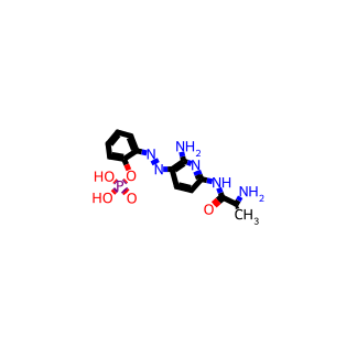 C[C@H](N)C(=O)Nc1ccc(/N=N/c2ccccc2OP(=O)(O)O)c(N)n1